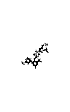 CNCc1cc(S(=O)(=O)NC(=O)Cc2c(-c3ccnc(OC)c3)cc(F)cc2C(C)C)nn1C(C)C